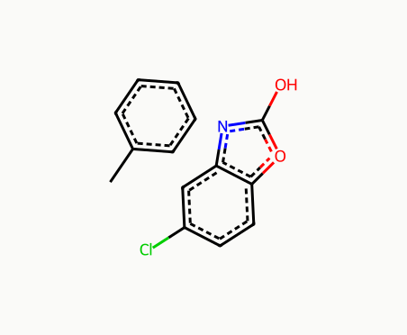 Cc1ccccc1.Oc1nc2cc(Cl)ccc2o1